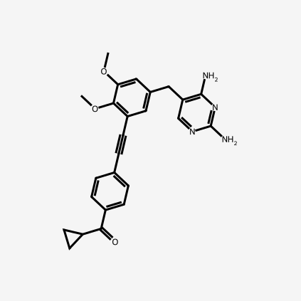 COc1cc(Cc2cnc(N)nc2N)cc(C#Cc2ccc(C(=O)C3CC3)cc2)c1OC